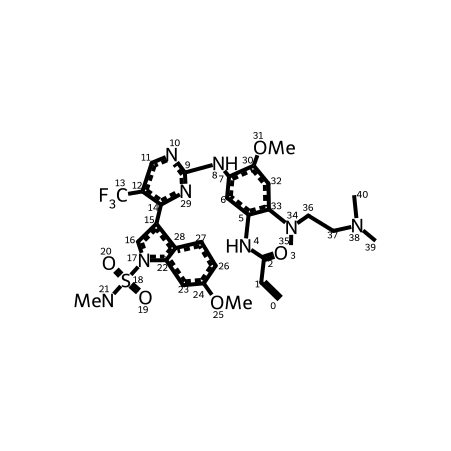 C=CC(=O)Nc1cc(Nc2ncc(C(F)(F)F)c(-c3cn(S(=O)(=O)NC)c4cc(OC)ccc34)n2)c(OC)cc1N(C)CCN(C)C